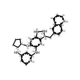 O[C@@H]1CCC[C@H]1Nc1ccnc(Nc2cnc3c(n2)N(Cc2ccc4ncccc4c2)NN3)c1